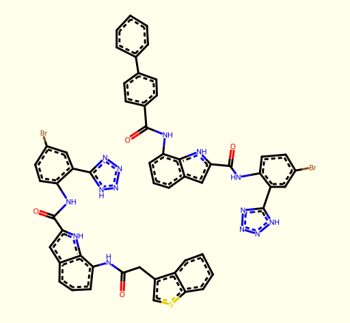 O=C(Cc1csc2ccccc12)Nc1cccc2cc(C(=O)Nc3ccc(Br)cc3-c3nnn[nH]3)[nH]c12.O=C(Nc1cccc2cc(C(=O)Nc3ccc(Br)cc3-c3nnn[nH]3)[nH]c12)c1ccc(-c2ccccc2)cc1